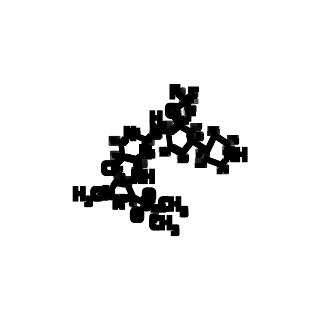 CC(C)S(=O)(=O)c1nn(C)cc1Nc1nc(Nc2ccc(C3CCNCC3)cc2OC(F)(F)F)ncc1Cl